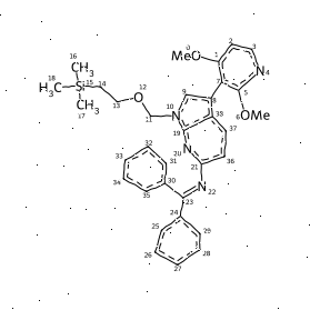 COc1ccnc(OC)c1-c1cn(COCC[Si](C)(C)C)c2nc(N=C(c3ccccc3)c3ccccc3)ccc12